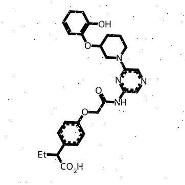 CCC(C(=O)O)c1ccc(OCC(=O)Nc2cncc(N3CCCC(OC4=C(O)CCC=C4)C3)n2)cc1